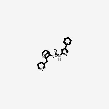 O=C(Nc1cc(-c2ccccc2)cs1)NC1C2CCN(CC2)C1Cc1cccnc1